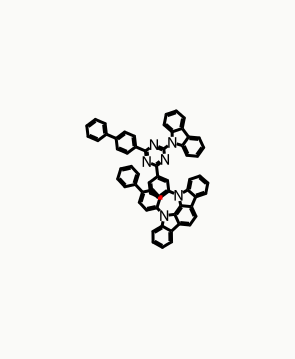 c1ccc(-c2ccc(-c3nc(-c4cccc(-n5c6ccccc6c6ccc7c8ccccc8n(-c8ccc(-c9ccccc9)cc8)c7c65)c4)nc(-n4c5ccccc5c5ccccc54)n3)cc2)cc1